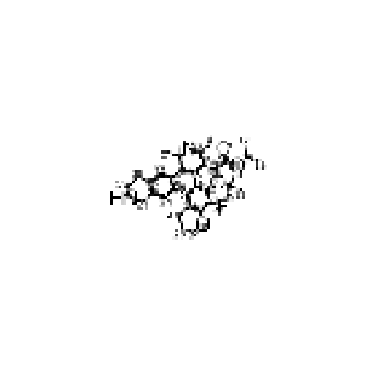 Cc1nc(C)c([C@H](OC(C)(C)C)C(=O)OC(C)C)c(-c2cc(F)c3c(c2C)CCCO3)c1-c1ccc2c(c1)CCNC2